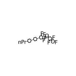 CCCc1ccc(-c2ccc(-c3cc(F)c(C(F)(F)Oc4cc(F)c(OCF)c(F)c4)c(F)c3)cc2)cc1